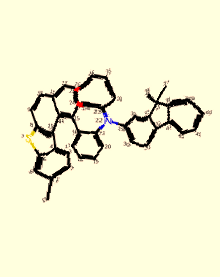 Cc1ccc2c(c1)sc1ccc3cccc(-c4ccccc4N(c4ccccc4)c4ccc5c(c4)C(C)(C)c4ccccc4-5)c3c12